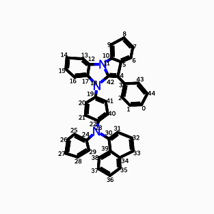 c1ccc(-c2c3ccccc3n3c4ccccc4n(-c4ccc(N(c5ccccc5)c5cccc6ccccc56)cc4)c23)cc1